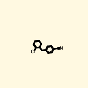 N#Cc1ccc(CC2CC=CC=C2Cl)cc1